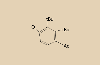 CC(=O)c1ccc([O])c(C(C)(C)C)c1C(C)(C)C